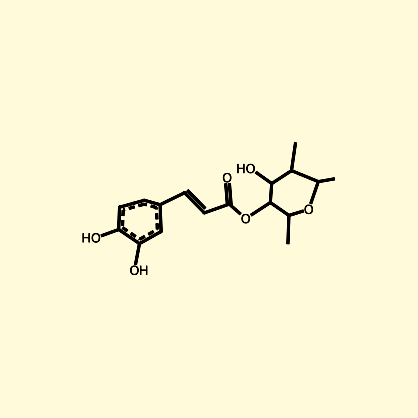 CC1OC(C)C(OC(=O)/C=C/c2ccc(O)c(O)c2)C(O)C1C